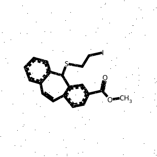 COC(=O)c1ccc2c(c1)C(SCCI)c1ccccc1C=C2